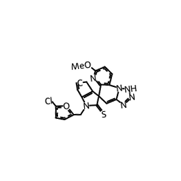 COc1ccc2c(n1)C1(C=C3N=NNN32)C(=S)N(Cc2ccc(Cl)o2)C2=C1CCC=C2